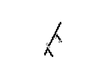 CCCCCCCCCC(CCCCCCCCC(=O)OCC(CCCC)CCCCCC)OC(=O)CCCN(C)C